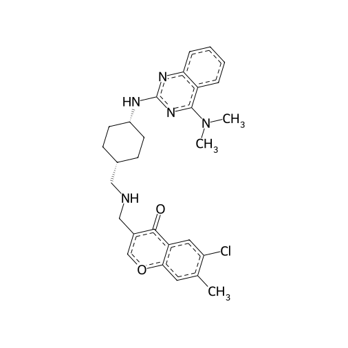 Cc1cc2occ(CNC[C@H]3CC[C@@H](Nc4nc(N(C)C)c5ccccc5n4)CC3)c(=O)c2cc1Cl